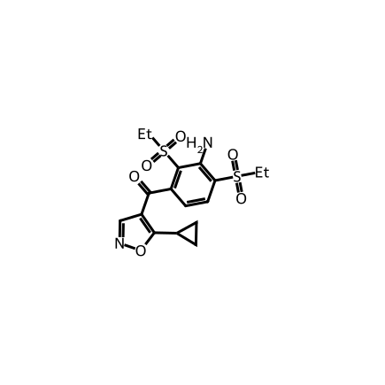 CCS(=O)(=O)c1ccc(C(=O)c2cnoc2C2CC2)c(S(=O)(=O)CC)c1N